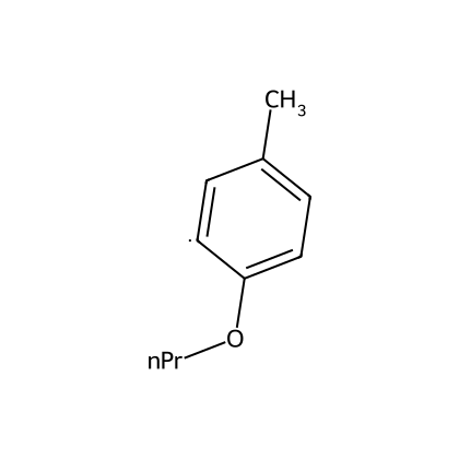 CCCOc1[c]cc(C)cc1